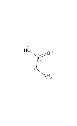 NCS(=O)O